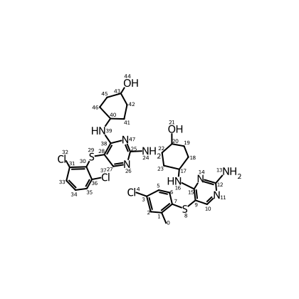 Cc1cc(Cl)ccc1Sc1cnc(N)nc1NC1CCC(O)CC1.Nc1ncc(Sc2c(Cl)cccc2Cl)c(NC2CCC(O)CC2)n1